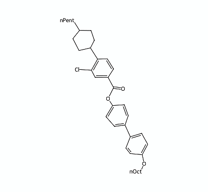 CCCCCCCCOc1ccc(-c2ccc(OC(=O)c3ccc(C4CCC(CCCCC)CC4)c(Cl)c3)cc2)cc1